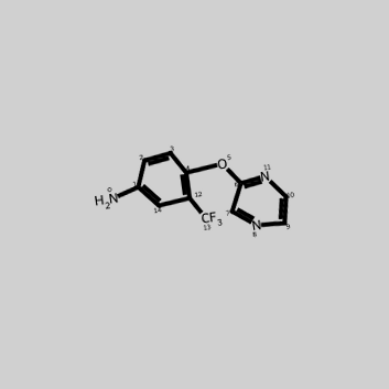 Nc1ccc(Oc2cnccn2)c(C(F)(F)F)c1